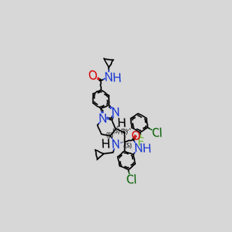 O=C(NC1CC1)c1ccc2c(c1)nc1n2CC[C@H]2[C@@H]1[C@H](c1cccc(Cl)c1F)[C@]1(C(=O)Nc3cc(Cl)ccc31)N2CC1CC1